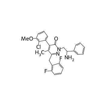 COc1cccc(-c2c(C)c(Cc3c(F)cccc3F)nn(CC(N)c3ccccc3)c2=O)c1Cl